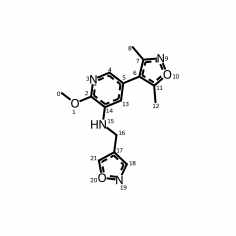 COc1ncc(-c2c(C)noc2C)cc1NCc1cnoc1